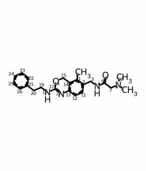 Cc1c(CNC(=O)CN(C)C)ccc2c1COC(NCCc1ccccc1)=N2